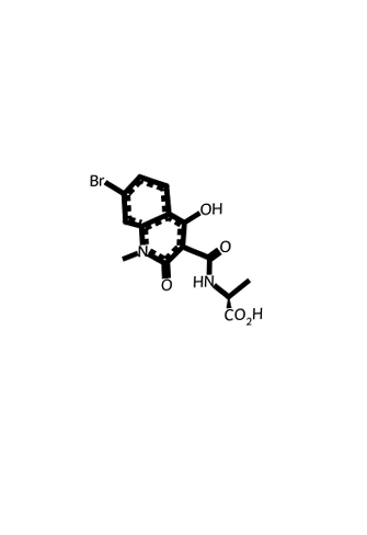 C[C@H](NC(=O)c1c(O)c2ccc(Br)cc2n(C)c1=O)C(=O)O